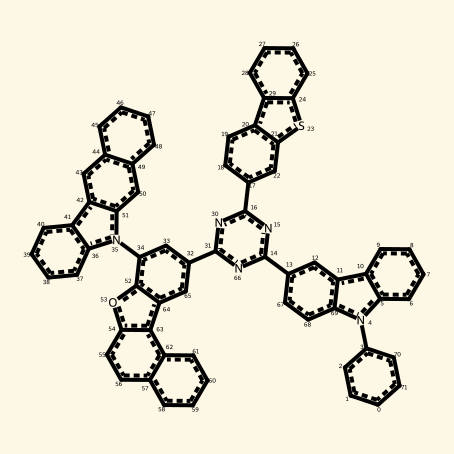 c1ccc(-n2c3ccccc3c3cc(-c4nc(-c5ccc6c(c5)sc5ccccc56)nc(-c5cc(-n6c7ccccc7c7cc8ccccc8cc76)c6oc7ccc8ccccc8c7c6c5)n4)ccc32)cc1